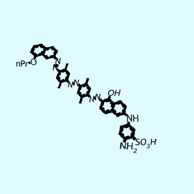 CCCOc1cccc2ccc(N=Nc3cc(C)c(N=Nc4cc(C)c(N=Nc5ccc6cc(Nc7ccc(N)c(S(=O)(=O)O)c7)ccc6c5O)cc4C)cc3C)cc12